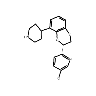 Clc1ccc([C@H]2COc3cccc(C4CCNCC4)c3O2)nc1